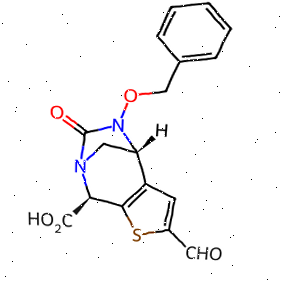 O=Cc1cc2c(s1)[C@@H](C(=O)O)N1C[C@@H]2N(OCc2ccccc2)C1=O